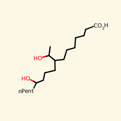 CCCCCC(O)CCCC(CCCCCCC(=O)O)C(C)O